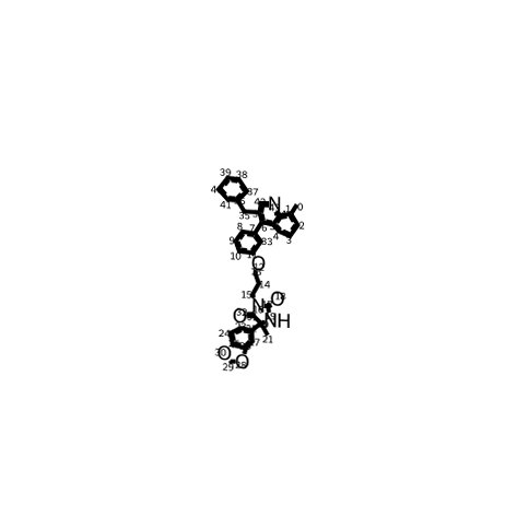 Cc1cccc2c(-c3cccc(OCCCN4C(=O)NC(C)(c5ccc6c(c5)OCO6)C4=O)c3)c(Cc3ccccc3)cnc12